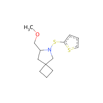 COCC1CC2(CCC2)CN1Sc1cccs1